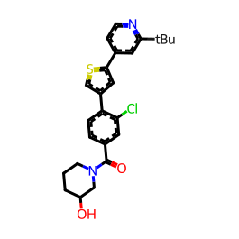 CC(C)(C)c1cc(-c2cc(-c3ccc(C(=O)N4CCCC(O)C4)cc3Cl)cs2)ccn1